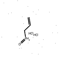 C=CC[PH2]=O.Cl.Cl